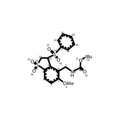 COc1ccc2c(c1CNC(=O)OC(C)(C)C)C(S(=O)(=O)c1ccccc1)CS2(=O)=O